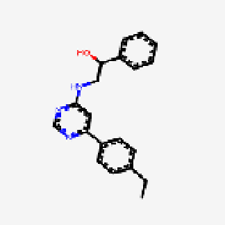 CCc1ccc(-c2cc(NCC(O)c3ccccc3)ncn2)cc1